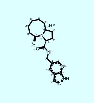 O=C(NCc1cnc2[nH]ncc2c1)[C@@H]1CC[C@@H]2CCCCCC(=O)N21